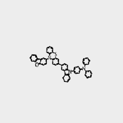 C1=Cc2c(c3cc(-c4ccc5c(c4)Sc4ccccc4N5c4ccc5oc6ccccc6c5c4)ccc3n2-c2ccc(N(c3ccccc3)c3ccccc3)cc2)CC1